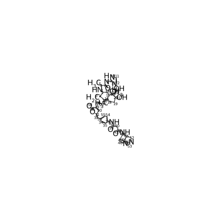 C=C1C(NC(C)C(=O)Nc2ncc[nH]2)CC2[C@](C)(CC[C@@H](O)[C@@]2(C)CO)C1/C=C/C1=CC(=C\c2ccc(NC(=O)CC(=O)NC3C4CN5CC3CN(C4)C5)cc2)/OC1=O